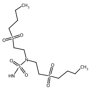 CCCCS(=O)(=O)CCN(CCS(=O)(=O)CCCC)S([NH])(=O)=O